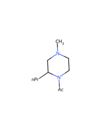 CCCC1CN(C)CCN1C(C)=O